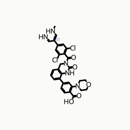 CN/C=C(\C=N)c1cc(Cl)c(C(=O)N2Cc3cccc(-c4ccc(C(=O)O)c(N5CCOCC5)c4)c3NC2=O)c(Cl)c1